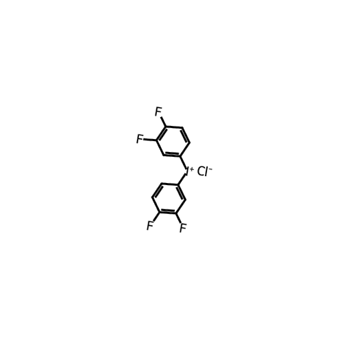 Fc1ccc([I+]c2ccc(F)c(F)c2)cc1F.[Cl-]